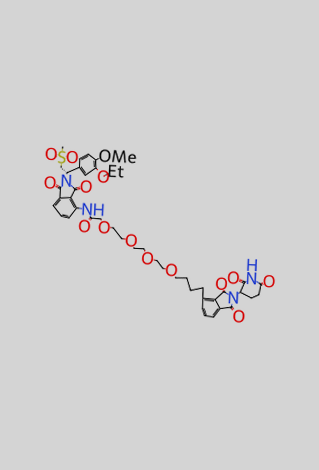 CCOc1cc([C@@H](CS(C)(=O)=O)N2C(=O)c3cccc(NC(=O)COCCOCCOCCOCCCCc4cccc5c4C(=O)N(C4CCC(=O)NC4=O)C5=O)c3C2=O)ccc1OC